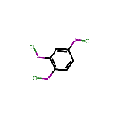 Cl[I]c1ccc([I]Cl)c([I]Cl)c1